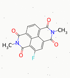 CN1C(=O)c2ccc3c4c(c(F)cc(c24)C1=O)C(=O)N(C)C3=O